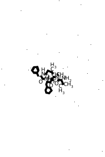 CC(C)CC(=O)N[C@@H](Cc1ccccc1)C(=O)NC(CC1CCCCC1)C(=O)C(F)(F)CN(C)C(=O)[C@@H](N)C(C)C